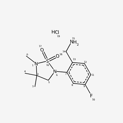 CN1C(C)(C)CN(c2cc(F)ccc2CN)S1(=O)=O.Cl